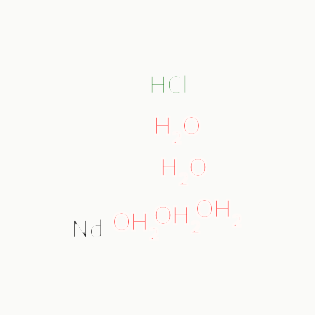 Cl.O.O.O.O.O.[Nd]